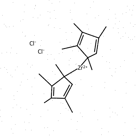 CC1=C[C](C)([Zr+2][C]2(C)C=C(C)C(C)=C2C)C(C)=C1C.[Cl-].[Cl-]